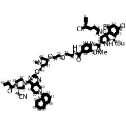 C#C/C(Cl)=C\C=C/C[C@H]1[C@H](C(=O)Nc2ccc(C(=O)NCCOCCO[C@@H]3C[C@@H](COc4nc5c(c(N6CCN(C(=O)C=C)[C@@H](CC#N)C6)n4)CCN(c4cccc6ccccc46)C5)N(C)C3)cc2OC)N[C@@H](CC(C)(C)C)[C@]1(C#N)c1ccc(Cl)cc1F